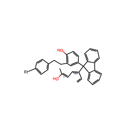 C=C/C(=C\C=C(/C)O)C1(c2ccc(O)c(CCc3ccc(CC)cc3)c2)c2ccccc2-c2ccccc21